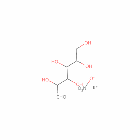 O=CC(O)C(O)C(O)C(O)CO.O=[N+]([O-])[O-].[K+]